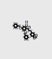 O=C(/C=C/c1ccc2c(c1)OCO2)c1c(O)cc(OCc2ccccc2)cc1OCc1ccccc1